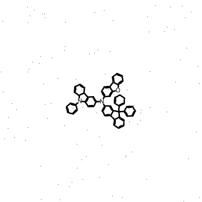 C1=CC2c3cc(N(c4ccc5c(c4)C(C4=CCCC=C4)(c4ccccc4)c4ccccc4-5)c4ccc5c(c4)oc4ccccc45)ccc3N(c3ccccc3)C2C=C1